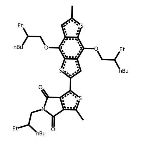 CCCCC(CC)COc1c2cc(-c3sc(C)c4c3C(=O)N(CC(CC)CCCC)C4=O)sc2c(OCC(CC)CCCC)c2cc(C)sc12